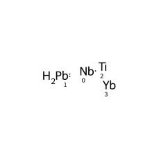 [Nb].[PbH2].[Ti].[Yb]